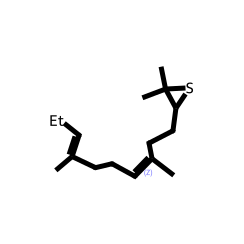 [CH2]CC=C(C)CC/C=C(/C)CCC1SC1(C)C